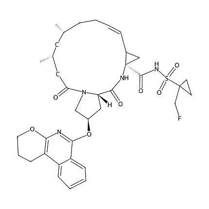 C[C@@H]1CC/C=C\C2C[C@@]2(C(=O)NS(=O)(=O)C2(CF)CC2)NC(=O)[C@@H]2C[C@@H](Oc3nc4c(c5ccccc35)CCCO4)CN2C(=O)C[C@H](C)C1